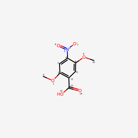 COc1cc([N+](=O)[O-])c(OC)cc1C(=O)O